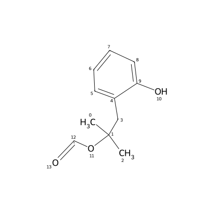 CC(C)(Cc1ccccc1O)O[C]=O